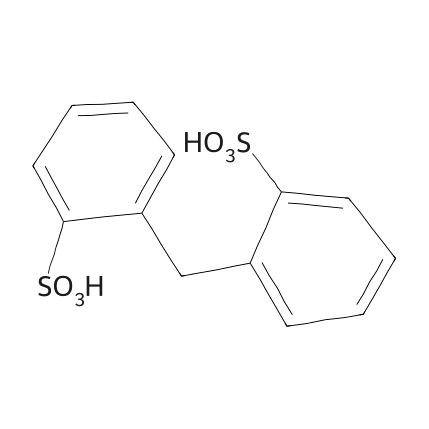 O=S(=O)(O)c1ccccc1Cc1ccccc1S(=O)(=O)O